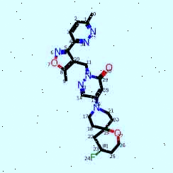 Cc1ccc(-c2noc(C)c2Cn2ncc(N3CCC4(CC3)C[C@H](F)CCO4)cc2=O)nn1